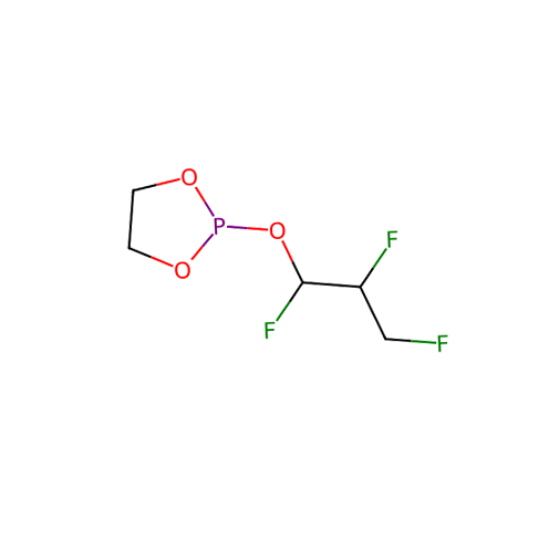 FCC(F)C(F)OP1OCCO1